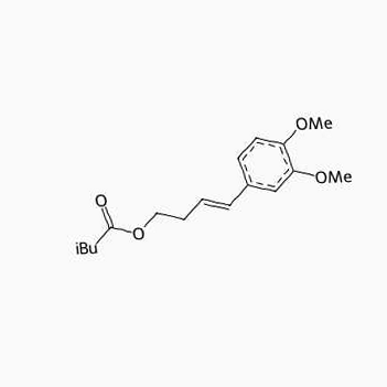 CCC(C)C(=O)OCC/C=C/c1ccc(OC)c(OC)c1